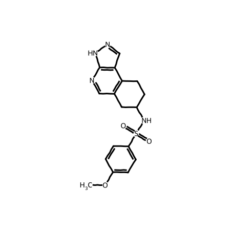 COc1ccc(S(=O)(=O)NC2CCc3c(cnc4[nH]ncc34)C2)cc1